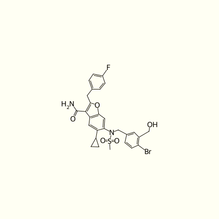 CS(=O)(=O)N(Cc1ccc(Br)c(CO)c1)c1cc2oc(Cc3ccc(F)cc3)c(C(N)=O)c2cc1C1CC1